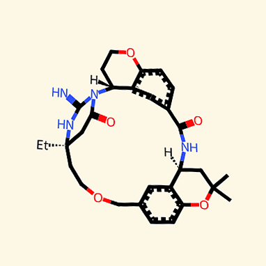 CC[C@]12CCOCc3ccc4c(c3)[C@H](CC(C)(C)O4)NC(=O)c3ccc4c(c3)[C@@H](CCO4)N(C(=N)N1)C(=O)C2